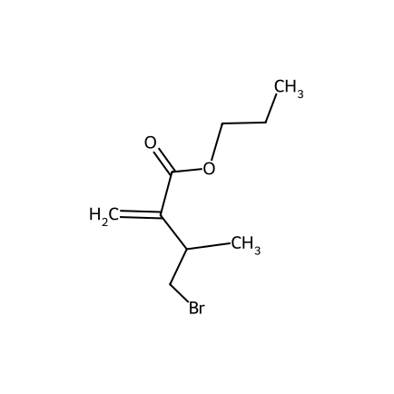 C=C(C(=O)OCCC)C(C)CBr